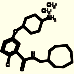 NC1CCC(Oc2ccc(Cl)c(C(=O)NC[C]3CCCCCCC3)c2)CC1.[CH2].[CH2]